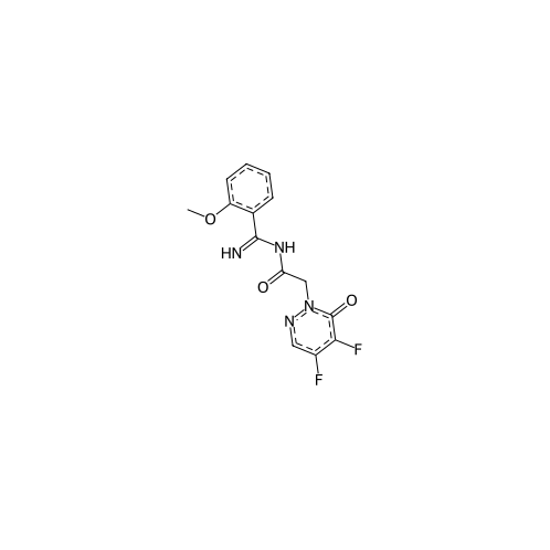 COc1ccccc1C(=N)NC(=O)Cn1ncc(F)c(F)c1=O